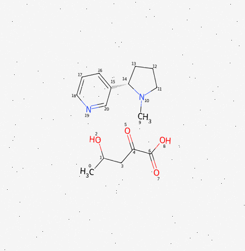 CC(O)CC(=O)C(=O)O.CN1CCC[C@H]1c1cccnc1